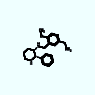 COc1ccc(CN)cc1CN[C@H]1CCCN[C@H]1c1ccccc1